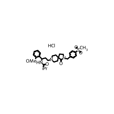 COc1ccccc1C(CCN1CCC2(CC1)CCN(Cc1ccc(S(C)(=O)=O)cc1)C2=O)NC(=O)C(C)C.Cl